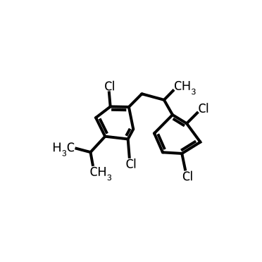 CC(C)c1cc(Cl)c(CC(C)c2ccc(Cl)cc2Cl)cc1Cl